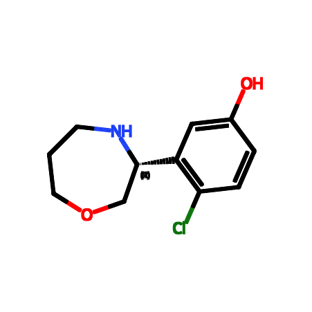 Oc1ccc(Cl)c([C@@H]2COCCCN2)c1